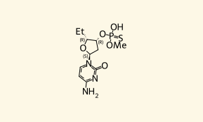 CC[C@H]1O[C@H](n2ccc(N)nc2=O)C[C@H]1OP(O)(=S)OC